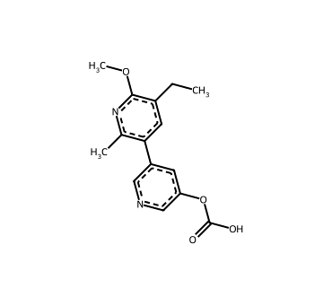 CCc1cc(-c2cncc(OC(=O)O)c2)c(C)nc1OC